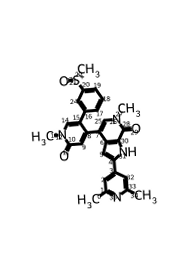 Cc1cc(-c2cc3c(-c4cc(=O)n(C)cc4-c4cccc([S+](C)[O-])c4)cn(C)c(=O)c3[nH]2)cc(C)n1